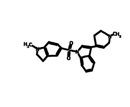 CN1CC=C(c2cn(S(=O)(=O)c3ccc4c(c3)CCN4C)c3ccccc23)CC1